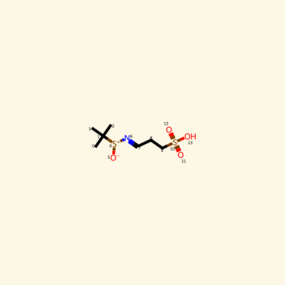 CC(C)(C)[S+]([O-])/N=C/CCS(=O)(=O)O